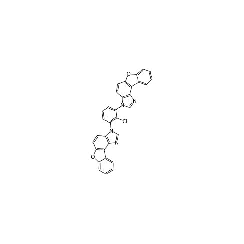 Clc1c(-n2cnc3c4c(ccc32)oc2ccccc24)cccc1-n1cnc2c3c(ccc21)oc1ccccc13